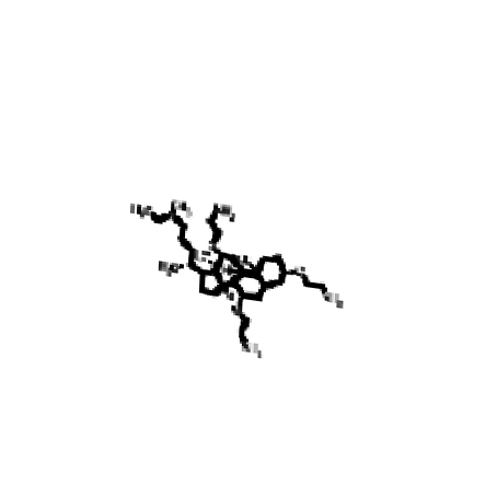 CCN(C)CCC[C@@H](C)C1CC[C@H]2C3[C@H](OCCN)CC4C[C@H](OCCN)CC[C@]4(C)[C@H]3C[C@H](OCCN)[C@]12C